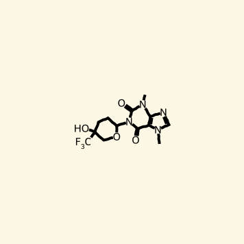 Cn1cnc2c1c(=O)n(C1CCC(O)(C(F)(F)F)CO1)c(=O)n2C